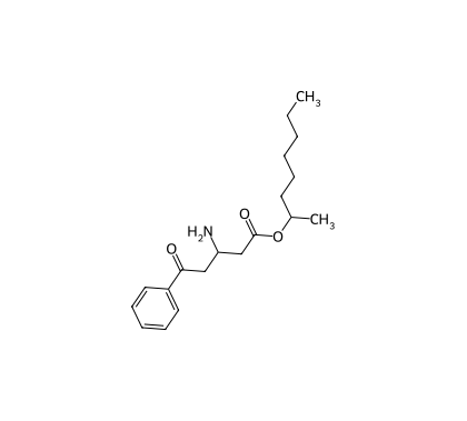 CCCCCCC(C)OC(=O)CC(N)CC(=O)c1ccccc1